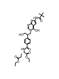 CCOC(=O)CC[C@H](NC(=O)c1ccc(C(CO)Cn2cnc3nc(NC(=O)C(C)(C)C)cc-3c2O)cc1)C(=O)OCC